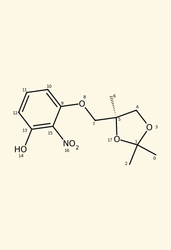 CC1(C)OC[C@](C)(COc2cccc(O)c2[N+](=O)[O-])O1